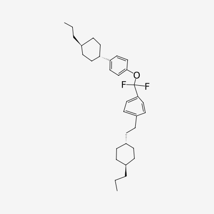 CCC[C@H]1CC[C@H](CCc2ccc(C(F)(F)Oc3ccc([C@H]4CC[C@H](CCC)CC4)cc3)cc2)CC1